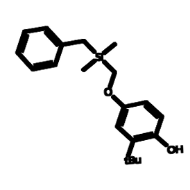 CC(C)(C)c1cc(OC[Si](C)(C)Cc2ccccc2)ccc1O